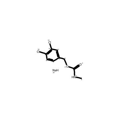 CNC(=O)OCc1ccc(Cl)c(Cl)c1.[NaH]